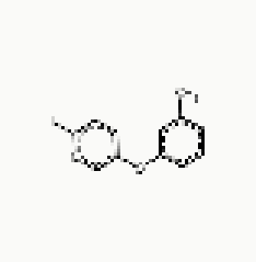 Cc1cccc(Oc2ccc(I)nc2)c1